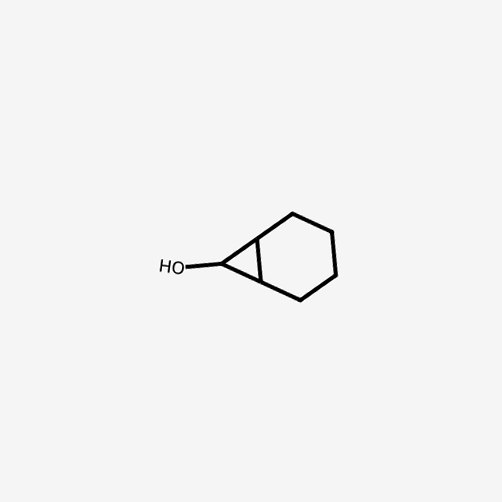 OC1C2CCCCC12